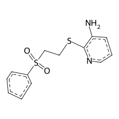 Nc1cccnc1SCCS(=O)(=O)c1ccccc1